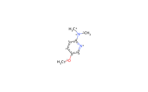 COc1ccc(N(C)C)nc1